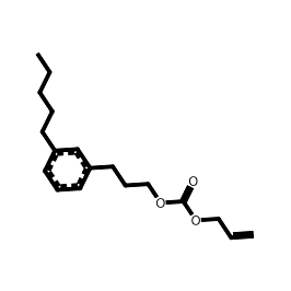 C=CCOC(=O)OCCCc1cccc(CCCCC)c1